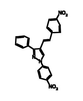 O=[N+]([O-])c1ccc(C=Cc2cn(-c3ccc([N+](=O)[O-])cc3)nc2-c2ccccc2)cc1